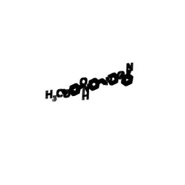 CCOc1ccc(C(=O)NC2CCC(CCN3CCC(Oc4ccccc4C#N)CC3)CC2)cc1